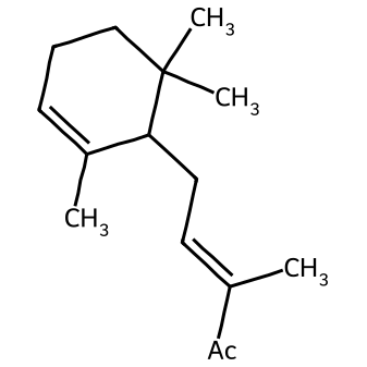 CC(=O)C(C)=CCC1C(C)=CCCC1(C)C